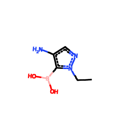 CCn1ncc(N)c1B(O)O